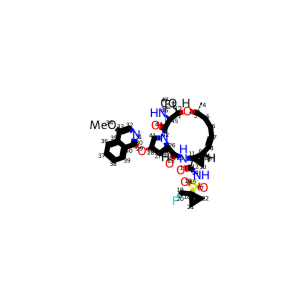 CC[C@@H]1O[C@H](C)CCC=C[C@@H]2C[C@@]2(C(=O)NS(=O)(=O)C2(CF)CC2)NC(=O)[C@@H]2C[C@@H](Oc3ncc(OC)c4ccccc34)CN2C(=O)[C@H]1NC(=O)O